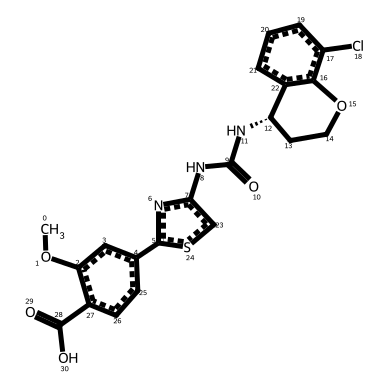 COc1cc(-c2nc(NC(=O)N[C@H]3CCOc4c(Cl)cccc43)cs2)ccc1C(=O)O